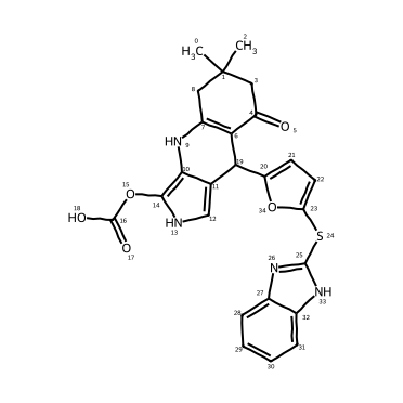 CC1(C)CC(=O)C2=C(C1)Nc1c(c[nH]c1OC(=O)O)C2c1ccc(Sc2nc3ccccc3[nH]2)o1